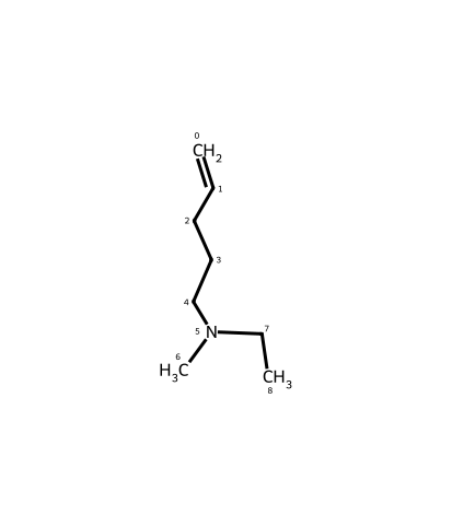 C=CCCCN(C)CC